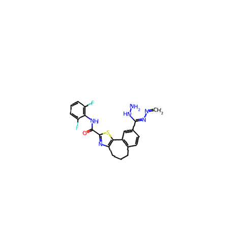 C=N/N=C(\NN)c1ccc2c(c1)-c1sc(C(=O)Nc3c(F)cccc3F)nc1CCC2